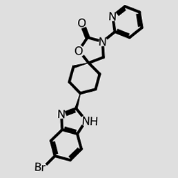 O=C1O[C@]2(CC[C@H](c3nc4cc(Br)ccc4[nH]3)CC2)CN1c1ccccn1